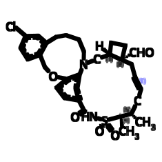 C[C@@H]1[C@@H](C)C/C=C/C[C@]2(C=O)CC[C@H]2CN2CCCCc3cc(Cl)ccc3COc3ccc(cc32)C(=O)NS1(=O)=O